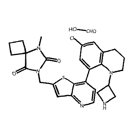 CN1C(=O)N(Cc2cc3nccc(-c4cc(Cl)cc5c4N(C4CNC4)CCC5)c3s2)C(=O)C12CCC2.O=CO